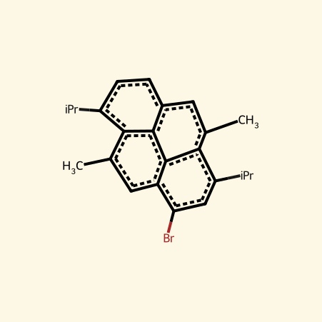 Cc1cc2c(Br)cc(C(C)C)c3c(C)cc4ccc(C(C)C)c1c4c23